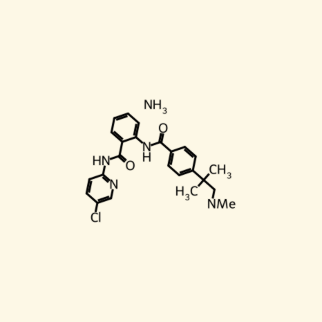 CNCC(C)(C)c1ccc(C(=O)Nc2ccccc2C(=O)Nc2ccc(Cl)cn2)cc1.N